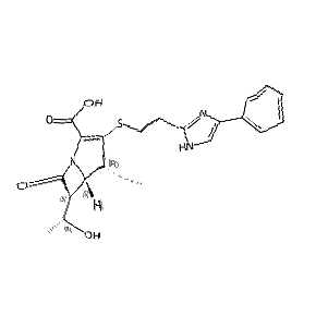 C[C@@H](O)[C@H]1C(=O)N2C(C(=O)O)=C(SCCc3nc(-c4ccccc4)c[nH]3)[C@H](C)[C@H]12